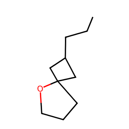 CCCC1CC2(CCCO2)C1